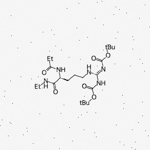 CCNC(=O)[C@H](CCCN/C(=N\C(=O)OC(C)(C)C)NC(=O)OC(C)(C)C)NC(=O)CC